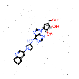 OC[C@H]1C[C@@H](n2cnc3c(N[C@H]4CCN(c5cnc6ccccc6c5)C4)ncnc32)[C@@H](O)[C@H]1O